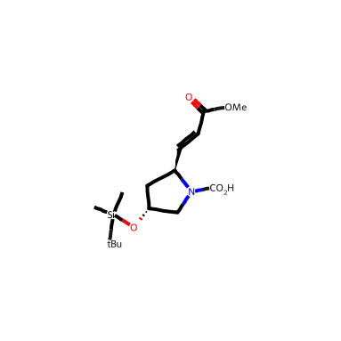 COC(=O)/C=C/[C@@H]1C[C@@H](O[Si](C)(C)C(C)(C)C)CN1C(=O)O